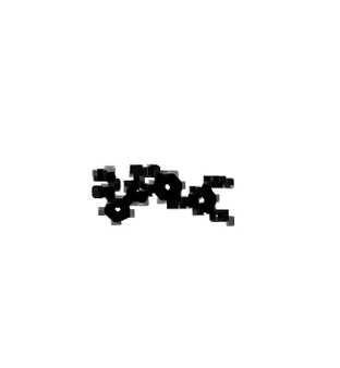 CNc1cc(C)nc(Nc2ccc(OC)c(-n3cc(C4CCCN4C(=O)OC(C)(C)C)nn3)c2)n1